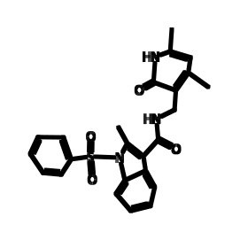 Cc1cc(C)c(CNC(=O)c2c(C)n(S(=O)(=O)c3ccccc3)c3ccccc23)c(=O)[nH]1